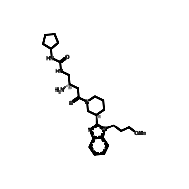 COCCCn1c([C@@H]2CCCN(C(=O)C[C@H](N)CNC(=O)NC3CCCC3)C2)nc2ccccc21